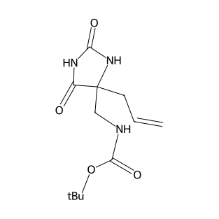 C=CCC1(CNC(=O)OC(C)(C)C)NC(=O)NC1=O